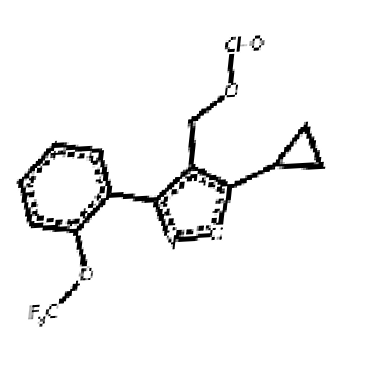 O=COCc1c(-c2ccccc2OC(F)(F)F)noc1C1CC1